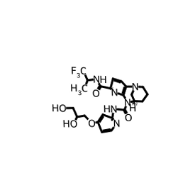 CC(NC(=O)c1ccc2c(n1)N(C(=O)Nc1cc(OCC(O)CO)ccn1)[C@H]1CCCN2C1)C(F)(F)F